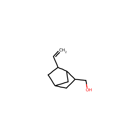 C=CC1CC2CC(CO)C1C2